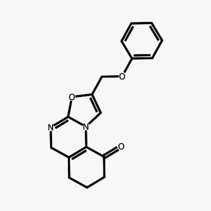 O=C1CCCC2=C1N1C=C(COc3ccccc3)OC1=NC2